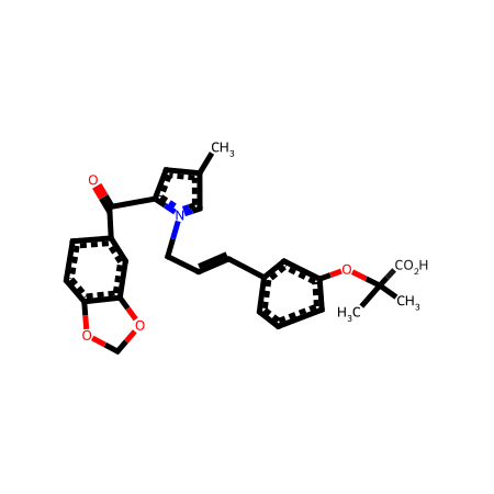 Cc1cc(C(=O)c2ccc3c(c2)OCO3)n(C/C=C/c2cccc(OC(C)(C)C(=O)O)c2)c1